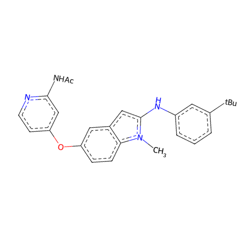 CC(=O)Nc1cc(Oc2ccc3c(c2)cc(Nc2cccc(C(C)(C)C)c2)n3C)ccn1